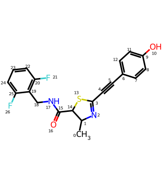 CC1N=C(C#Cc2ccc(O)cc2)SC1C(=O)NCc1c(F)cccc1F